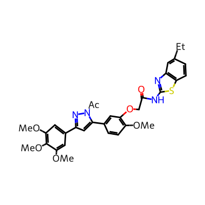 CCc1ccc2sc(NC(=O)COc3cc(-c4cc(-c5cc(OC)c(OC)c(OC)c5)nn4C(C)=O)ccc3OC)nc2c1